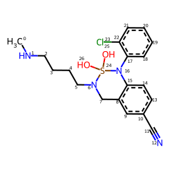 CNCCCCN1Cc2cc(C#N)ccc2N(c2ccccc2Cl)S1(O)O